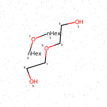 CCCCCCOCCCCCC.OCCOCCO